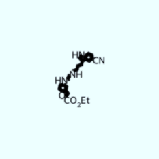 CCOC(=O)c1cc2cc(NCCNCCCCc3c[nH]c4ccc(C#N)cc34)ccc2o1